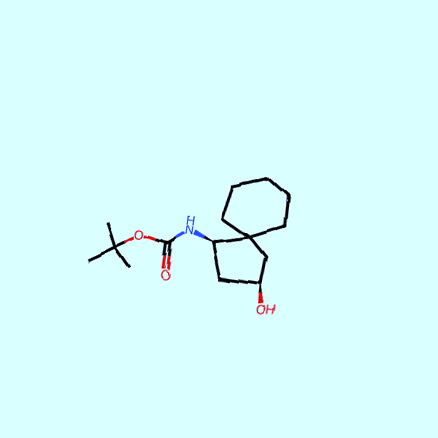 CC(C)(C)OC(=O)N[C@@H]1C[C@H](O)CC12CCCCC2